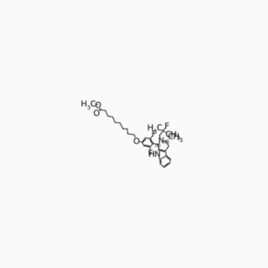 COC(=O)CCCCCCCCCOc1cc(F)c([C@@H]2c3[nH]c4ccccc4c3C[C@@H](C)N2CC(C)(C)F)c(F)c1